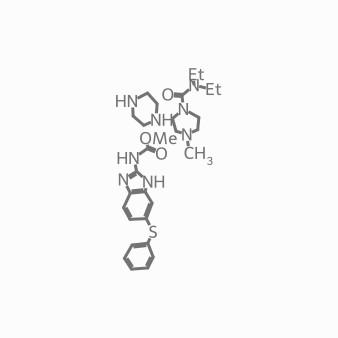 C1CNCCN1.CCN(CC)C(=O)N1CCN(C)CC1.COC(=O)Nc1nc2ccc(Sc3ccccc3)cc2[nH]1